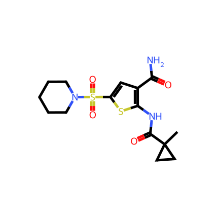 CC1(C(=O)Nc2sc(S(=O)(=O)N3CCCCC3)cc2C(N)=O)CC1